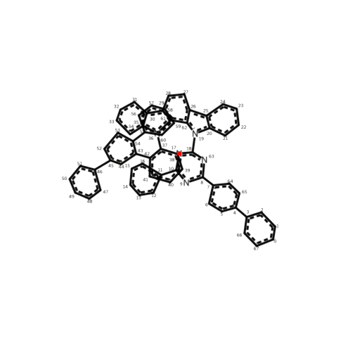 c1ccc(-c2ccc(-c3nc(-c4ccccc4)nc(-n4c5ccccc5c5ccc6c7ccccc7n(-c7ccccc7-c7cc(-c8ccccc8)ccc7-c7ccccc7)c6c54)n3)cc2)cc1